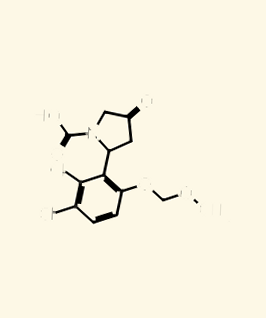 COCOc1ccc(Cl)c(Cl)c1C1CC(=O)CN1C(=O)O